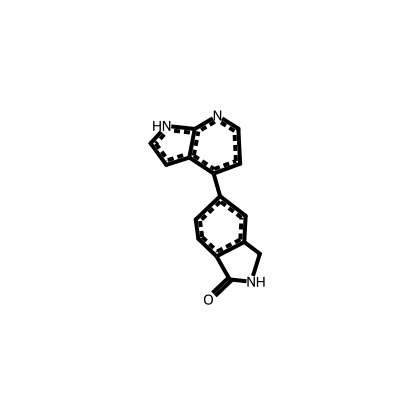 O=C1NCc2cc(-c3ccnc4[nH]ccc34)ccc21